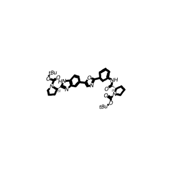 CC(C)(C)OC(=O)N1CCC[C@H]1C(=O)NC1=CC=CC(c2ncc(-c3ccc4[nH]c([C@@H]5CCCN5C(=O)OC(C)(C)C)nc4c3)o2)C1